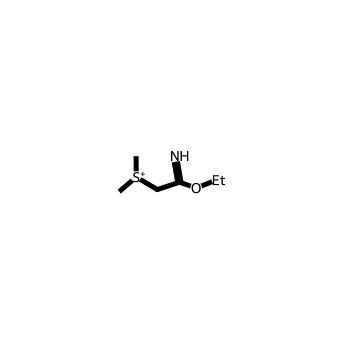 CCOC(=N)C[S+](C)C